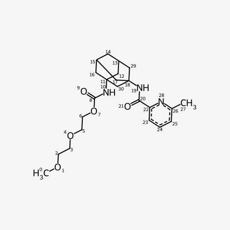 COCCOCCOC(=O)NC12CC3CC(C1)CC(NC(=O)c1cccc(C)n1)(C3)C2